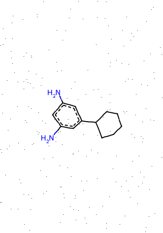 Nc1cc(N)cc(C2CCCCC2)c1